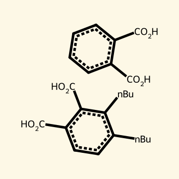 CCCCc1ccc(C(=O)O)c(C(=O)O)c1CCCC.O=C(O)c1ccccc1C(=O)O